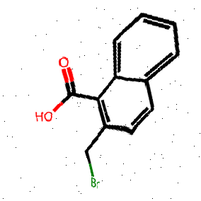 O=C(O)c1c(CBr)ccc2ccccc12